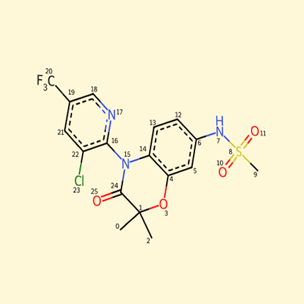 CC1(C)Oc2cc(NS(C)(=O)=O)ccc2N(c2ncc(C(F)(F)F)cc2Cl)C1=O